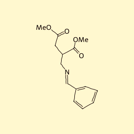 COC(=O)CC(C/N=C/c1ccccc1)C(=O)OC